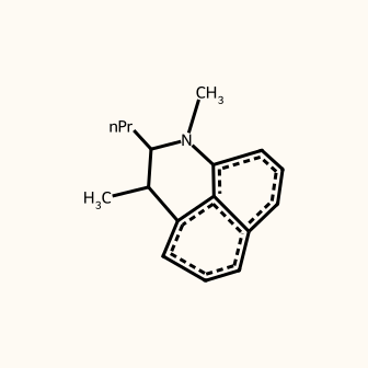 CCCC1C(C)c2cccc3cccc(c23)N1C